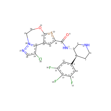 O=C(N[C@@H]1CNCC[C@H]1c1cc(F)c(F)c(F)c1)c1cc2c(s1)OCCn1ncc(Cl)c1-2